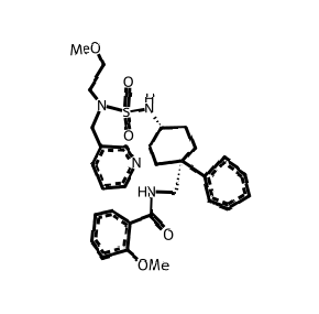 COCCN(Cc1cccnc1)S(=O)(=O)N[C@H]1CC[C@](CNC(=O)c2ccccc2OC)(c2ccccc2)CC1